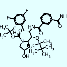 CC(C)(C)OC(=O)N1CC(O)CC1[C@@H](O[Si](C)(C)C(C)(C)C)[C@H](Cc1cc(F)cc(F)c1)NC(=O)c1cccc(C(N)=O)c1